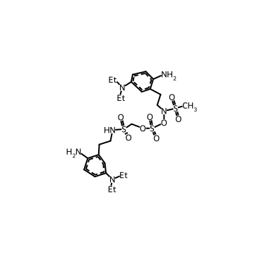 CCN(CC)c1ccc(N)c(CCNS(=O)(=O)COS(=O)(=O)ON(CCc2cc(N(CC)CC)ccc2N)S(C)(=O)=O)c1